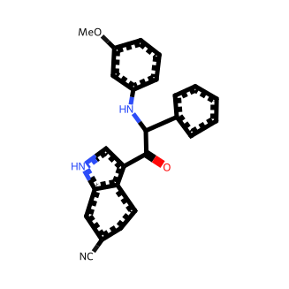 COc1cccc(NC(C(=O)c2c[nH]c3cc(C#N)ccc23)c2ccccc2)c1